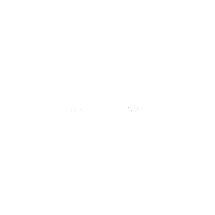 CN[C@@H](CC(=O)O)C(N)=O